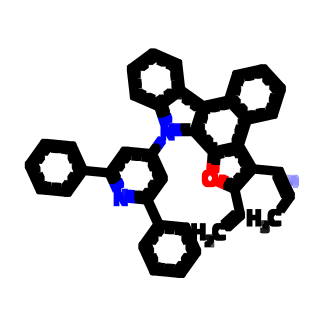 C=Cc1oc2c(c1/C=C\C)c1ccccc1c1c3ccccc3n(-c3cc(-c4ccccc4)nc(-c4ccccc4)c3)c21